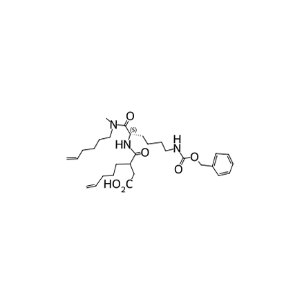 C=CCCCCN(C)C(=O)[C@H](CCCCNC(=O)OCc1ccccc1)NC(=O)C(CCCC=C)CC(=O)O